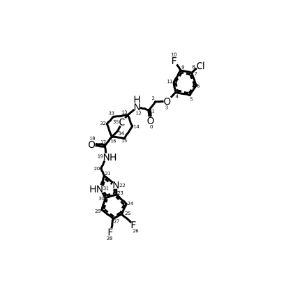 O=C(COc1ccc(Cl)c(F)c1)NC12CCC(C(=O)NCc3nc4cc(F)c(F)cc4[nH]3)(CC1)CC2